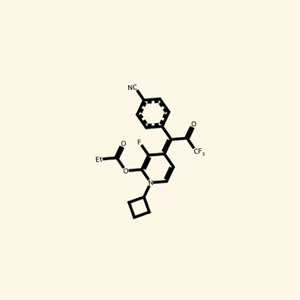 CCC(=O)OC1=C(F)/C(=C(/C(=O)C(F)(F)F)c2ccc(C#N)cc2)C=CN1C1CCC1